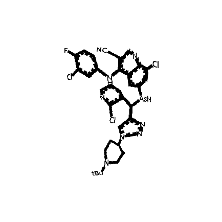 CC(C)(C)N1CCC(n2cc(C([AsH]c3cc(Cl)c4ncc(C#N)c(Nc5ccc(F)c(Cl)c5)c4c3)c3cccnc3Cl)nn2)CC1